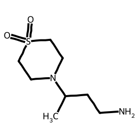 CC(CCN)N1CCS(=O)(=O)CC1